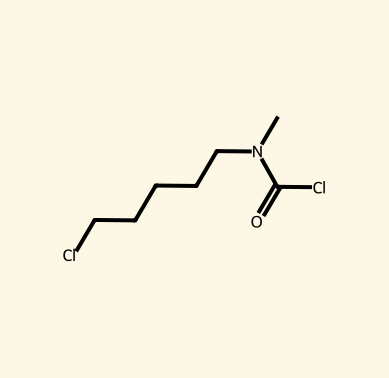 CN(CCCCCCl)C(=O)Cl